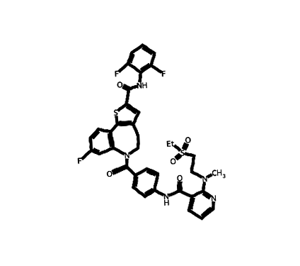 CCS(=O)(=O)CCN(C)c1ncccc1C(=O)Nc1ccc(C(=O)N2CCc3cc(C(=O)Nc4c(F)cccc4F)sc3-c3ccc(F)cc32)cc1